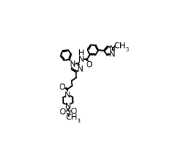 Cn1cc(-c2cccc(C(=O)Nc3nc(CCCC(=O)N4CCN(S(C)(=O)=O)CC4)cn3-c3ccccc3)c2)cn1